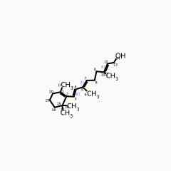 CC1=C(/C=C/C(C)=C/CC/C(C)=C/CO)C(C)(C)CCC1